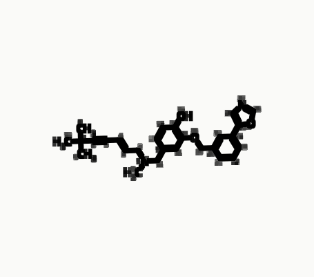 CN(CC=CC#CC(C)(C)C)Cc1ccc(O)c(OCc2cccc(-c3cnco3)c2)c1